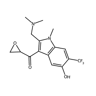 CN(C)Cc1c(C(=O)C2CO2)c2cc(O)c(C(F)(F)F)cc2n1C